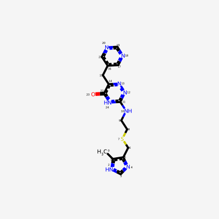 Cc1[nH]cnc1CSCCNc1nnc(Cc2cncnc2)c(=O)[nH]1